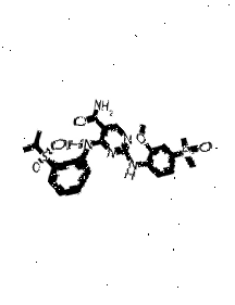 COc1cc(P(C)(C)=O)ccc1Nc1ncc(C(N)=O)c(Nc2ccccc2S(=O)(=O)C(C)C)n1